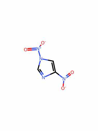 O=[N+]([O-])c1cn([N+](=O)[O-])cn1